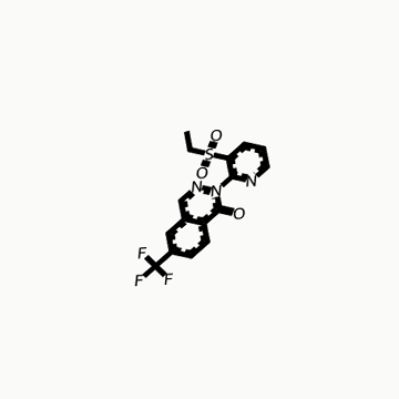 CCS(=O)(=O)c1cccnc1-n1ncc2cc(C(F)(F)F)ccc2c1=O